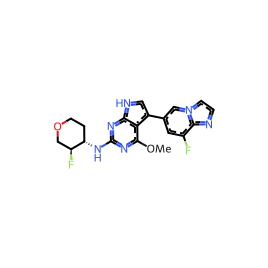 COc1nc(N[C@H]2CCOC[C@@H]2F)nc2[nH]cc(-c3cc(F)c4nccn4c3)c12